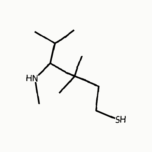 CNC(C(C)C)C(C)(C)CCS